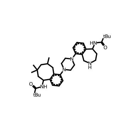 CC1Cc2c(cccc2N2CCN(c3cccc4c3CNCCC4NC(=O)C(C)(C)C)CC2)C(NC(=O)C(C)(C)C)CC(C)(C)C1